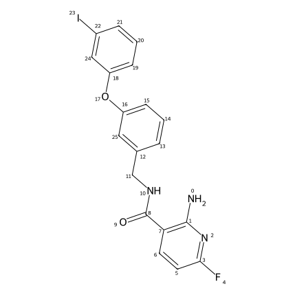 Nc1nc(F)ccc1C(=O)NCc1cccc(Oc2cccc(I)c2)c1